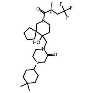 C[C@H](CC(F)(F)F)C(=O)N1CCC(O)(CN2CCN(C3CCC(C)(C)CC3)CC2=O)C2(CCCC2)C1